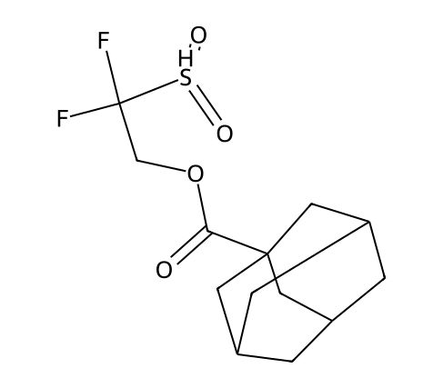 O=C(OCC(F)(F)[SH](=O)=O)C12CC3CC(CC(C3)C1)C2